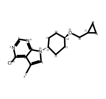 Clc1ncnc2c1c(I)cn2[C@H]1CC[C@H](OCC2CC2)CC1